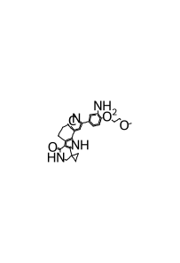 COCCOc1ccc(-c2cc3c(cn2)CCc2c-3[nH]c3c2C(=O)NCC32CC2)cc1N